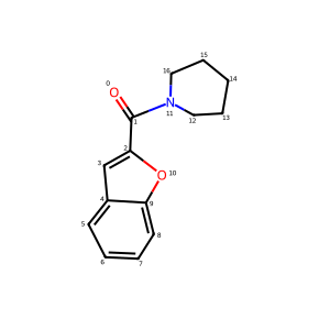 O=C(c1cc2ccccc2o1)N1CCCCC1